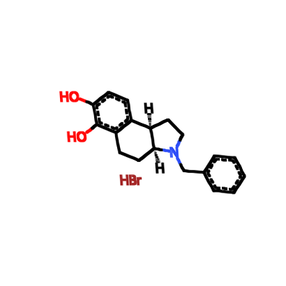 Br.Oc1ccc2c(c1O)CC[C@H]1[C@@H]2CCN1Cc1ccccc1